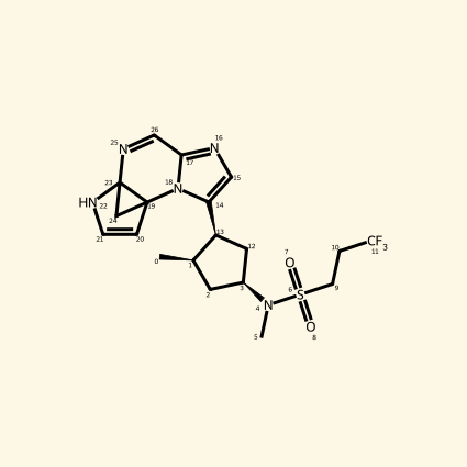 C[C@@H]1C[C@H](N(C)S(=O)(=O)CCC(F)(F)F)C[C@@H]1c1cnc2n1C13C=CNC1(C3)N=C2